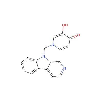 O=c1ccn(Cn2c3ccccc3c3ccncc32)cc1O